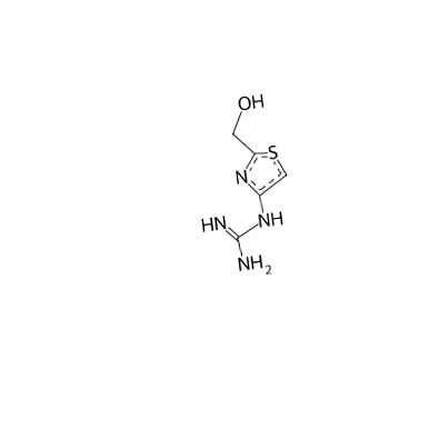 N=C(N)Nc1csc(CO)n1